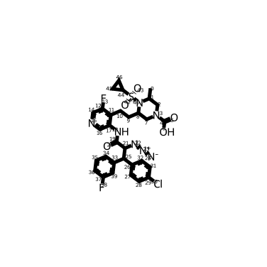 CC1CN(C(=O)O)CC(CCc2c(F)cncc2NC(=O)C(N=[N+]=[N-])C(c2ccc(Cl)cc2)c2cccc(F)c2)N1S(=O)(=O)C1CC1